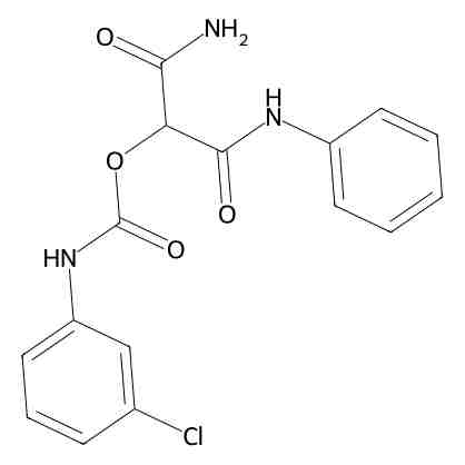 NC(=O)C(OC(=O)Nc1cccc(Cl)c1)C(=O)Nc1ccccc1